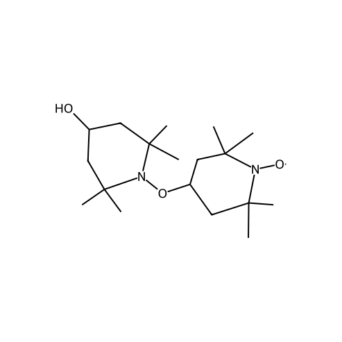 CC1(C)CC(ON2C(C)(C)CC(O)CC2(C)C)CC(C)(C)N1[O]